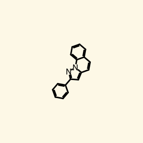 c1ccc(-c2cc3ccc4ccccc4n3n2)cc1